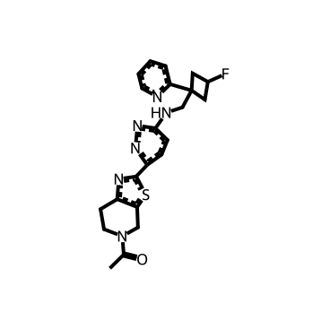 CC(=O)N1CCc2nc(-c3ccc(NCC4(c5ccccn5)CC(F)C4)nn3)sc2C1